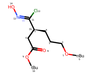 CCCCOCCC[C@@H](CC(=O)OC(C)(C)C)/C(Cl)=N/O